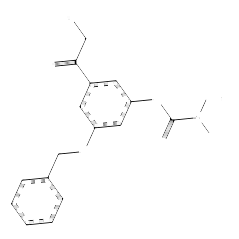 CN(C)C(=O)Oc1cc(OCc2ccccc2)cc(C(=O)CBr)c1